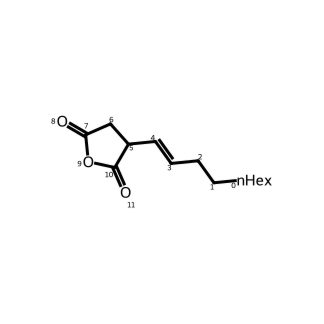 CCCCCCCCC=CC1CC(=O)OC1=O